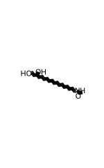 CC(=O)NCCCCCCCCCCCCCCCC(O)CCO